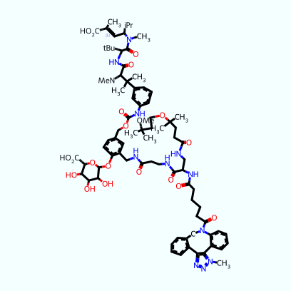 CNC(C(=O)NC(C(=O)N(C)C(/C=C(\C)C(=O)O)C(C)C)C(C)(C)C)C(C)(C)c1cccc(NC(=O)OCc2ccc(OC3OC(C(=O)O)C(O)C(O)C3O)c(CNC(=O)CCNC(=O)C(CNC(=O)CCC(C)(C)OCCC(C)(C)OC)NC(=O)CCCCC(=O)N3Cc4ccccc4-c4nnn(C)c4-c4ccccc43)c2)c1